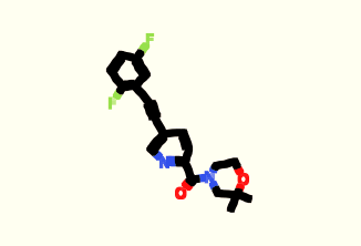 CC1(C)CN(C(=O)c2ccc(C#Cc3cc(F)ccc3F)cn2)CCO1